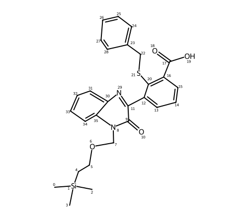 C[Si](C)(C)CCOCn1c(=O)c(-c2cccc(C(=O)O)c2SCc2ccccc2)nc2ccccc21